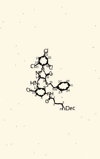 CCCCCCCCCCCCCC(=O)Nc1ccc(Cl)c(NC2=NN(c3c(Cl)cc(Cl)cc3Cl)C(=O)C2SCCc2ccccc2)c1